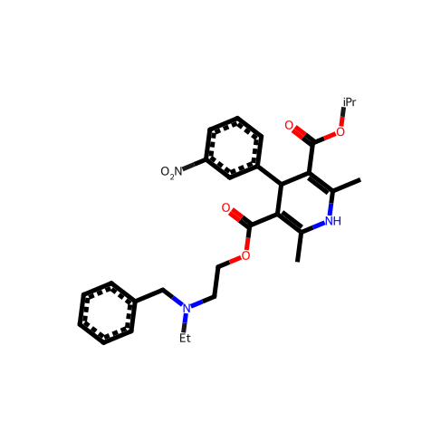 CCN(CCOC(=O)C1=C(C)NC(C)=C(C(=O)OC(C)C)C1c1cccc([N+](=O)[O-])c1)Cc1ccccc1